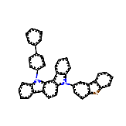 c1ccc(-c2ccc(-n3c4ccccc4c4ccc5c(c6ccccc6n5-c5ccc6sc7ccccc7c6c5)c43)cc2)cc1